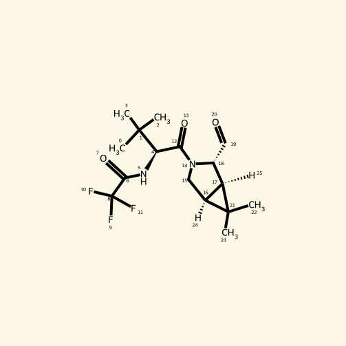 CC(C)(C)[C@H](NC(=O)C(F)(F)F)C(=O)N1C[C@H]2[C@@H]([C@H]1C=O)C2(C)C